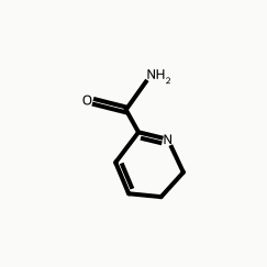 NC(=O)C1=NCCC=C1